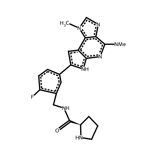 CNc1nc2[nH]c(-c3ccc(F)c(CNC(=O)[C@H]4CCCN4)c3)cc2c2c1ncn2C